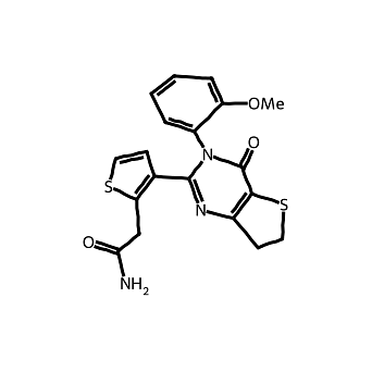 COc1ccccc1-n1c(-c2ccsc2CC(N)=O)nc2c(c1=O)SCC2